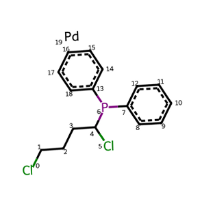 ClCCCC(Cl)P(c1ccccc1)c1ccccc1.[Pd]